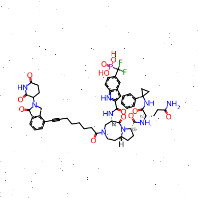 NC(=O)CC[C@H](NC(=O)[C@@H]1CC[C@@H]2CCN(C(=O)CCCCCC#Cc3cccc4c3CN(C3CCC(=O)NC3=O)C4=O)C[C@H](NC(=O)c3cc4cc(C(F)(F)P(=O)(O)O)ccc4[nH]3)C(=O)N21)C(=O)NC1(c2ccccc2)CC1